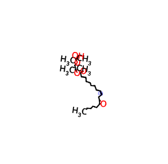 CCCCCC1OC1C/C=C\CCCCCCCC(=O)OC(C)(C)COC(C)(C)O